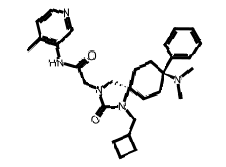 Cc1ccncc1NC(=O)CN1C[C@]2(CC[C@](c3ccccc3)(N(C)C)CC2)N(CC2CCC2)C1=O